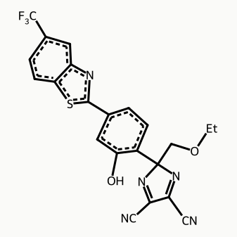 CCOCC1(c2ccc(-c3nc4cc(C(F)(F)F)ccc4s3)cc2O)N=C(C#N)C(C#N)=N1